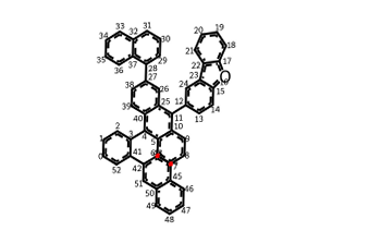 c1ccc(-c2c3ccccc3c(-c3ccc4oc5ccccc5c4c3)c3cc(-c4cccc5ccccc45)ccc23)c(-c2ccc3ccccc3c2)c1